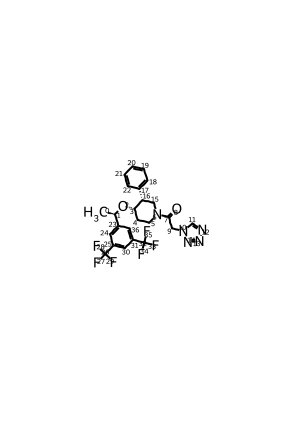 C[C@@H](O[C@H]1CCN(C(=O)Cn2cnnn2)C[C@H]1c1ccccc1)c1cc(C(F)(F)F)cc(C(F)(F)F)c1